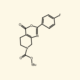 CC(C)(C)OC(=O)N1CCc2c(nc(-c3ccc(F)cc3)oc2=O)C1